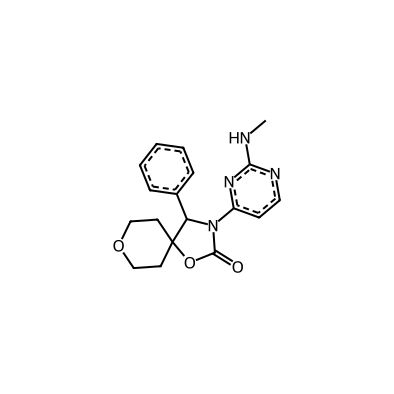 CNc1nccc(N2C(=O)OC3(CCOCC3)C2c2ccccc2)n1